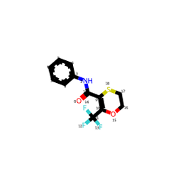 O=C(Nc1ccccc1)C1=C(C(F)(F)F)OCCS1